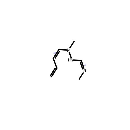 C=C/C=C\N(C)N/C=N\C